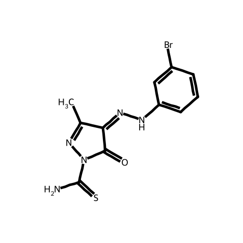 CC1=NN(C(N)=S)C(=O)/C1=N\Nc1cccc(Br)c1